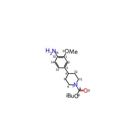 COc1cc(C2CCN(C(=O)OCC(C)C)CC2)ccc1N